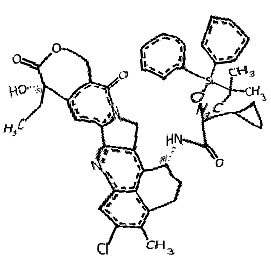 CC[C@@]1(O)C(=O)OCc2c1cc1n(c2=O)Cc2c-1nc1cc(Cl)c(C)c3c1c2[C@H](NC(=O)C(O[Si](c1ccccc1)(c1ccccc1)C(C)(C)C)C1CC1)CC3